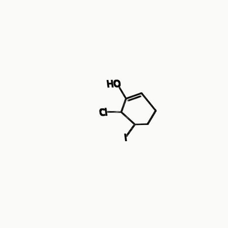 OC1=CCCC(I)C1Cl